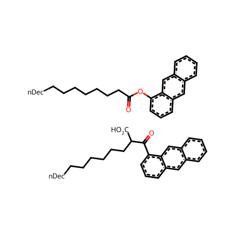 CCCCCCCCCCCCCCCCC(C(=O)O)C(=O)c1cccc2cc3ccccc3cc12.CCCCCCCCCCCCCCCCCC(=O)Oc1cccc2cc3ccccc3cc12